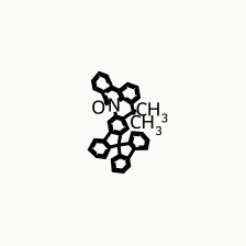 CC1(C)c2cc3c(cc2-n2c(=O)c4ccccc4c4cccc1c42)-c1ccccc1C31c2ccccc2-c2ccccc21